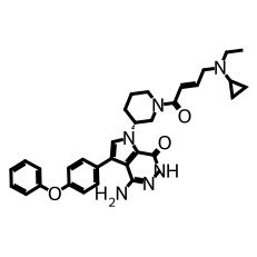 CCN(C/C=C/C(=O)N1CCC[C@@H](n2cc(-c3ccc(Oc4ccccc4)cc3)c3c(N)n[nH]c(=O)c32)C1)C1CC1